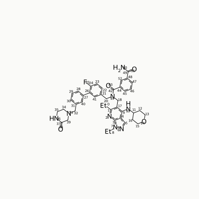 CCc1nc2c(cnn2CC)c(NC2CCOCC2)c1CN(Cc1ccc(F)c(-c2cccc(CN3CCNC(=O)C3)c2)c1)C(=O)c1cccc(C(N)=O)c1